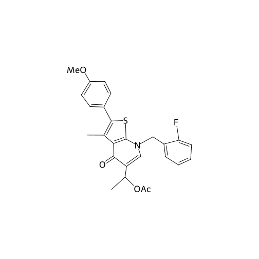 COc1ccc(-c2sc3c(c2C)c(=O)c(C(C)OC(C)=O)cn3Cc2ccccc2F)cc1